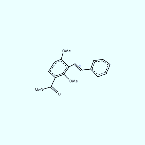 COC(=O)c1ccc(OC)c(/C=C/c2ccccc2)c1OC